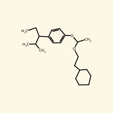 CCC(c1ccc(OC(C)OCCC2CCCCC2)cc1)C(C)C